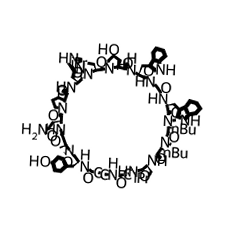 CCCC[C@H]1C(=O)N(C)[C@@H](CCCC)C(=O)N[C@@H](CC(C)C)C(=O)NCC(=O)NCCC(=O)N[C@@H](Cc2ccc(O)cc2)C(=O)N(C)[C@@H](C)C(=O)N[C@@H](CC(N)=O)C(=O)N2CCC[C@H]2C(=O)N[C@@H](Cc2c[nH]cn2)C(=O)N[C@@H](CC(C)C)C(=O)N2C[C@H](O)C[C@H]2C(=O)N[C@@H](Cc2c[nH]c3ccccc23)C(=O)NCC(=O)N[C@@H](Cc2c[nH]c3ccccc23)C(=O)N1C